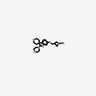 CC(C)N1CC(COc2ccc(C3(C(=O)N4CCOCC4)CCOCC3)cc2)C1